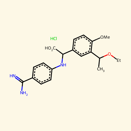 CCOC(C)c1cc(C(Nc2ccc(C(=N)N)cc2)C(=O)O)ccc1OC.Cl